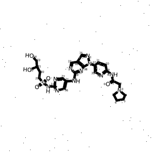 O=C(CN1CCCC1)Nc1ccc(-n2ncc3cnc(Nc4cnc(NS(=O)(=O)CCC(O)CO)nc4)nc32)cn1